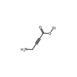 CCOC(=O)C#CCN